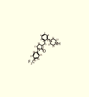 O=C1C(Cc2ccccc2N2CCNCC2)CCN1c1ccc(C(F)(F)F)cc1